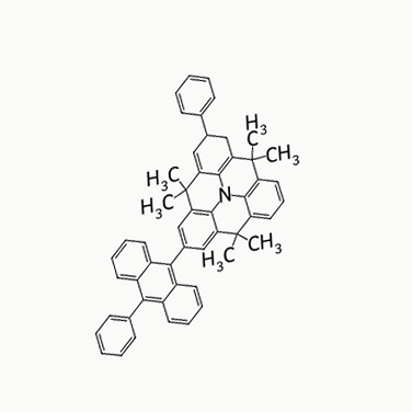 CC1(C)C2=CC(c3ccccc3)CC3=C2N2c4c1cc(-c1c5ccccc5c(-c5ccccc5)c5ccccc15)cc4C(C)(C)c1cccc(c12)C3(C)C